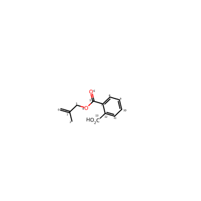 C=C(C)COC(=O)c1ccccc1C(=O)O